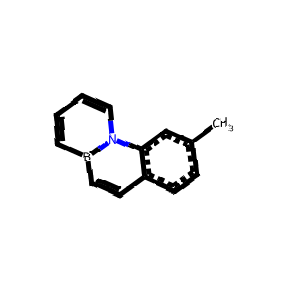 Cc1ccc2c(c1)N1C=CC=CB1C=C2